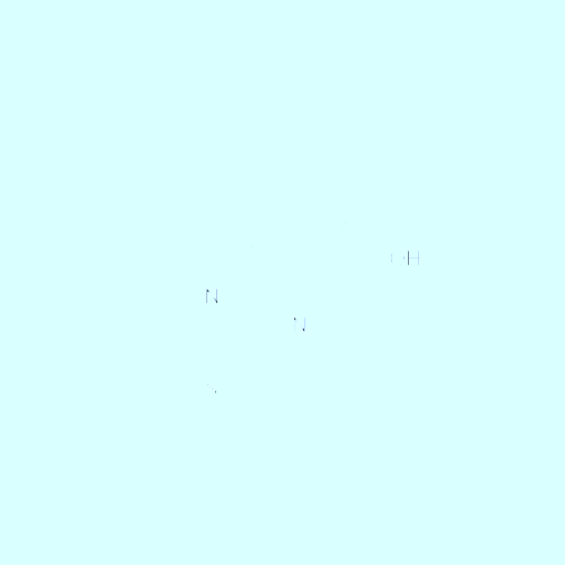 CCc1c(CO)nc2sccn12